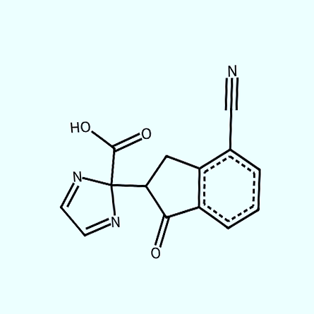 N#Cc1cccc2c1CC(C1(C(=O)O)N=CC=N1)C2=O